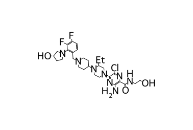 CC[C@H]1CN(c2nc(N)c(C(=O)NCCO)nc2Cl)CCN1C1CCN(Cc2ccc(F)c(F)c2N2CC[C@H](O)C2)CC1